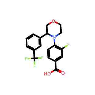 O=C(O)c1ccc(N2CCOCC2c2cccc(C(F)(F)F)c2)c(F)c1